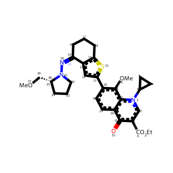 CCOC(=O)c1cn(C2CC2)c2c(OC)c(-c3cc4c(s3)CCC/C4=N/N3CCC[C@@H]3COC)ccc2c1=O